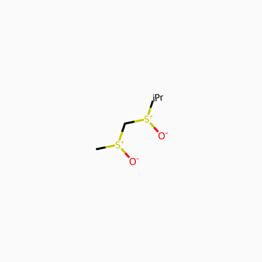 CC(C)[S+]([O-])C[S+](C)[O-]